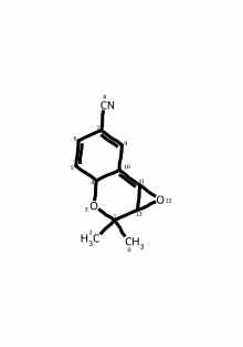 CC1(C)OC2C=CC(C#N)=CC2=C2OC21